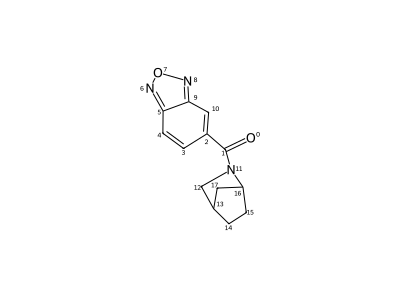 O=C(c1ccc2nonc2c1)N1CC2CCC1C2